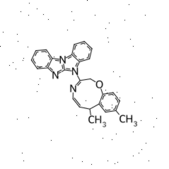 Cc1ccc2c(c1)C(C)/C=C\N=C(\n1c3ccccc3n3c4ccccc4nc13)CO2